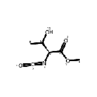 COC(=O)[C@@H](N=C=O)C(C)O